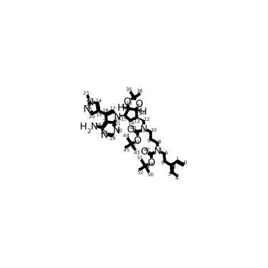 C=C/C(=C\C)CCN(CCCN(C[C@H]1C[C@@H](n2cc(-c3cnn(C)c3)c3c(N)ncnc32)[C@@H]2OC(C)(C)O[C@H]12)C(=O)OC(C)(C)C)C(=O)OC(C)(C)C